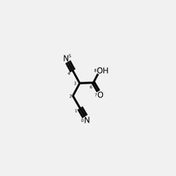 N#CCC(C#N)C(=O)O